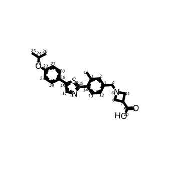 Cc1cc(CN2CC(C(=O)O)C2)ccc1-c1ncc(-c2ccc(OC(C)C)cc2)s1